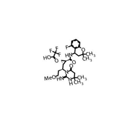 COCC[C@@H]([C@@H]1C[C@H]1C(=O)NC1CC(C)(C)Oc2cccc(F)c21)N1C(=N)NC(C)(C)CC1=O.O=C(O)C(F)(F)F